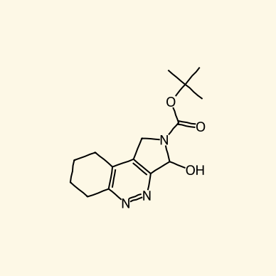 CC(C)(C)OC(=O)N1Cc2c(nnc3c2CCCC3)C1O